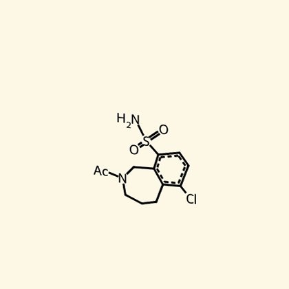 CC(=O)N1CCCc2c(Cl)ccc(S(N)(=O)=O)c2C1